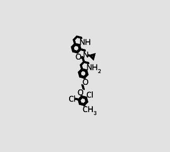 Cc1cc(Cl)c(OCCOc2ccc(CC(CN)C(=O)N(Cc3cccc4c3NCCC4)C3CC3)cc2)c(Cl)c1